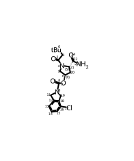 CC(C)(C)CC(=O)N1C[C@H](OC(=O)N2Cc3cccc(Cl)c3C2)C[C@H]1C(N)=O